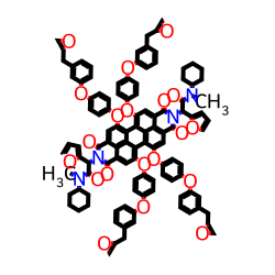 CN(C(=O)C(c1ccco1)N1C(=O)c2cc(Oc3ccc(Oc4cccc(CC5CO5)c4)cc3)c3c4c(Oc5ccc(Oc6cccc(CC7CO7)c6)cc5)cc5c6c(cc(Oc7ccc(Oc8cccc(CC9CO9)c8)cc7)c(c7c(Oc8ccc(Oc9cccc(CC%10CO%10)c9)cc8)cc(c2c37)C1=O)c64)C(=O)N(C(C(=O)N(C)C1CCCCC1)c1ccco1)C5=O)C1CCCCC1